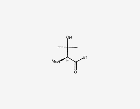 CCC(=O)[C@@H](NC)C(C)(C)O